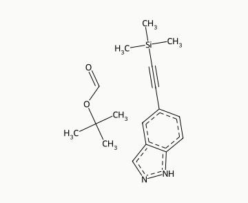 CC(C)(C)OC=O.C[Si](C)(C)C#Cc1ccc2[nH]ncc2c1